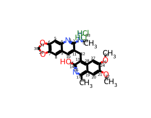 CNc1nc2cc3c(cc2cc1Cc1c(O)nc(C)c2cc(OC)c(OC)cc12)OCO3.Cl.Cl